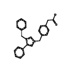 O=C([O-])Cc1ccc(Cn2cc(-c3ccccc3)[n+](Cc3ccccc3)c2)cc1